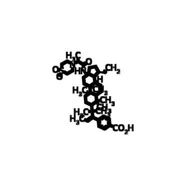 C=C[C@@H]1CC[C@]2(NC(=O)C(C)N3CCS(=O)(=O)CC3)CC[C@]3(C)[C@H](CCC4C(C)(C)C(C(C)(C)/C(=C\C)c5ccc(C(=O)O)cc5)CC[C@]43C)C12